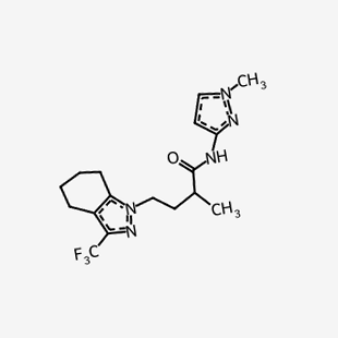 CC(CCn1nc(C(F)(F)F)c2c1CCCC2)C(=O)Nc1ccn(C)n1